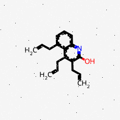 C=CCc1c(O)nc2cccc(CC=C)c2c1CC=C